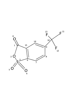 O=C1OS(=O)(=O)c2ccc(C(F)(F)F)cc21